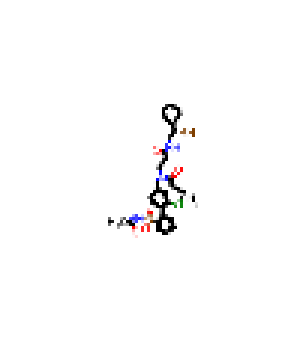 CCCC(=O)N(CCC(=O)NC[C@@H](S)C1CCCCC1)Cc1ccc(-c2ccccc2S(=O)(=O)NC(C)=O)c(Cl)c1